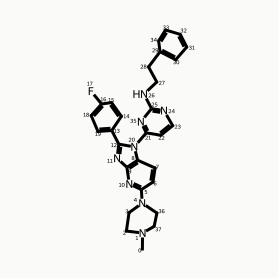 CN1CCN(c2ccc3c(n2)nc(-c2ccc(F)cc2)n3-c2ccnc(NCCc3ccccc3)n2)CC1